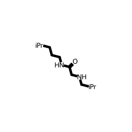 CC(C)CCCNC(=O)CNCC(C)C